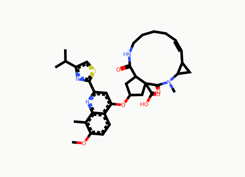 COc1ccc2c(OC3CC4C(=O)NCCCCC=CC5CC5N(C)C(=O)C4(C(=O)O)C3)cc(-c3nc(C(C)C)cs3)nc2c1C